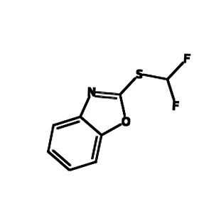 FC(F)Sc1nc2ccccc2o1